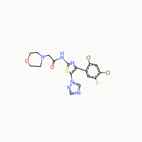 O=C(CN1C[CH]OCC1)Nc1nc(-c2cc(F)c(Cl)cc2Cl)c(-n2cncn2)s1